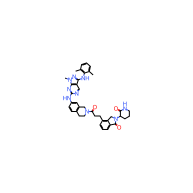 Cc1cccc(C)c1Nc1nn(C)c2nc(Nc3ccc4c(c3)CN(C(=O)CCc3cccc5c3CN(C3CCCNC3=O)C5=O)CC4)ncc12